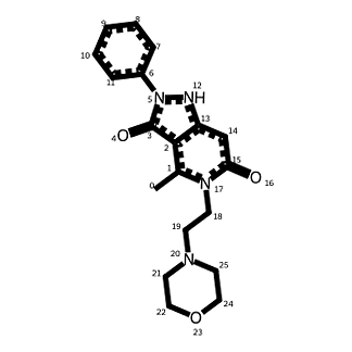 Cc1c2c(=O)n(-c3ccccc3)[nH]c2cc(=O)n1CCN1CCOCC1